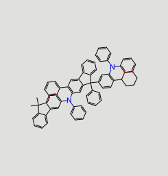 CC1(C)c2ccccc2-c2cc(N(c3ccccc3)c3cc4c(cc3-c3ccccc3)-c3ccccc3C4(c3ccccc3)c3ccc(C4CCCCC4)c(N(c4ccccc4)c4ccccc4)c3)ccc21